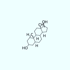 C[C@]12CCC(O)C[C@@H]1CCC1[C@@H]2CC[C@]2(C)[C@@H](O)CC[C@@H]12